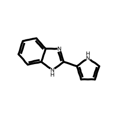 c1c[nH]c(-c2nc3ccccc3[nH]2)c1